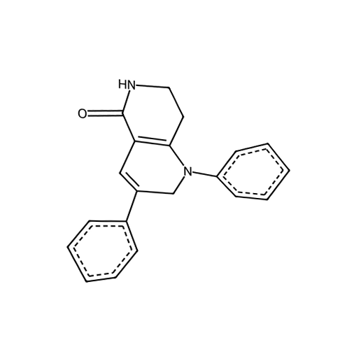 O=C1NCCC2=C1C=C(c1ccccc1)CN2c1ccccc1